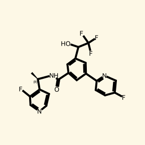 C[C@@H](NC(=O)c1cc(-c2ccc(F)cn2)cc(C(O)C(F)(F)F)c1)c1ccncc1F